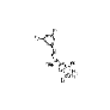 CCCCC(C=Nc1cc(CC)cc(CC)c1)=Nc1ccc(N(C)CC)c(N(C)CC)c1.[Ni]